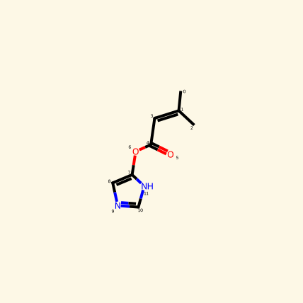 CC(C)=CC(=O)Oc1cnc[nH]1